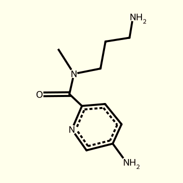 CN(CCCN)C(=O)c1ccc(N)cn1